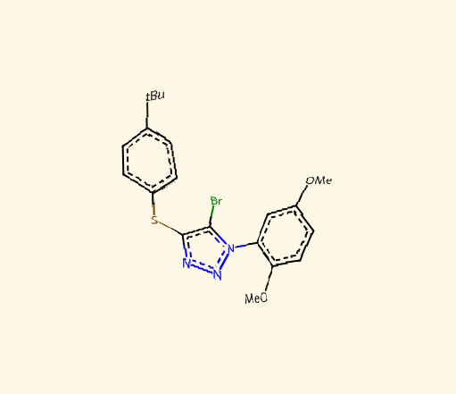 COc1ccc(OC)c(-n2nnc(Sc3ccc(C(C)(C)C)cc3)c2Br)c1